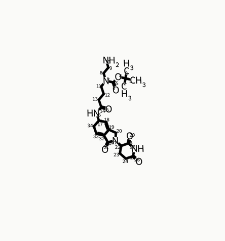 CC(C)(C)OC(=O)N(CCN)CCCC(=O)NC1C=C2CN(C3CCC(=O)NC3=O)C(=O)C2=CC1